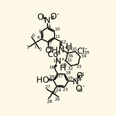 CC(C)(C)c1cc([N+](=O)[O-])cc(C=[N+]2[Co][N+](=Cc3cc([N+](=O)[O-])cc(C(C)(C)C)c3O)[C@@H]3CCCC[C@H]32)c1O.[Cl-]